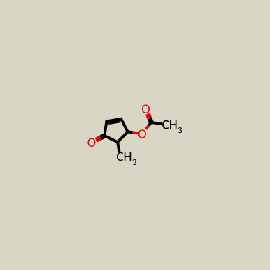 CC(=O)OC1C=CC(=O)C1C